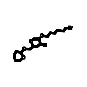 O=c1cc(COC2CCCCO2)occ1OCCCCCCBr